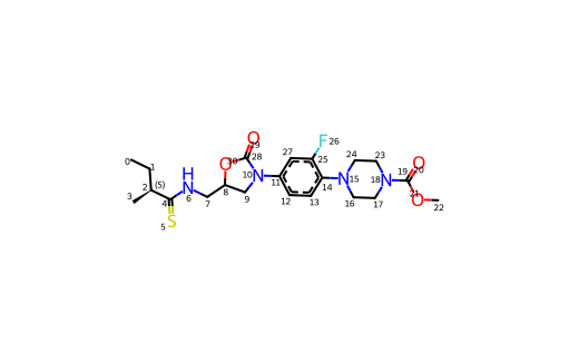 CC[C@H](C)C(=S)NCC1CN(c2ccc(N3CCN(C(=O)OC)CC3)c(F)c2)C(=O)O1